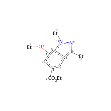 CCOC(=O)c1cc(OCC)c2c(c1)c(CC)nn2CC